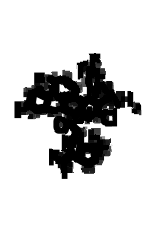 Cc1ccc(-c2ccc(Cl)c3c(N)nn(CC(F)(F)F)c23)c([C@H](Cc2cc(F)cc(F)c2)NC(=O)Cn2nc(C(F)F)c3c2C(F)(F)CC3)n1